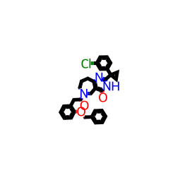 O=C(Cc1ccccc1OCc1ccccc1)N1CCCc2nc(C3(c4cccc(Cl)c4)CC3)[nH]c(=O)c2C1